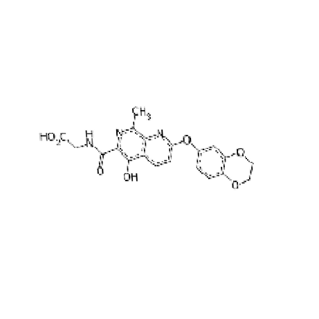 Cc1nc(C(=O)NCC(=O)O)c(O)c2ccc(Oc3ccc4c(c3)OCCO4)nc12